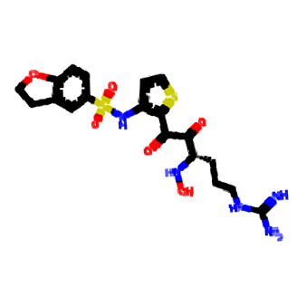 N=C(N)NCCC[C@H](NO)C(=O)C(=O)c1sccc1NS(=O)(=O)c1ccc2c(c1)CCO2